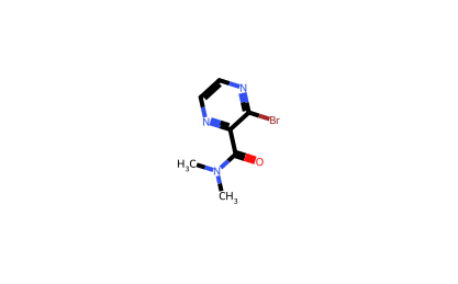 CN(C)C(=O)c1nccnc1Br